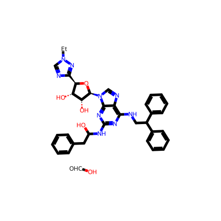 CCn1cnc([C@H]2O[C@@H](n3cnc4c(NCC(c5ccccc5)c5ccccc5)nc(NC(O)Cc5ccccc5)nc43)[C@H](O)[C@@H]2O)n1.O=CO